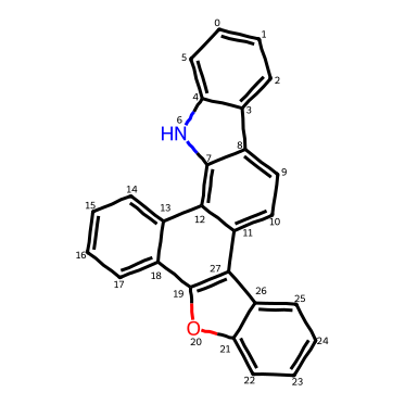 c1ccc2c(c1)[nH]c1c2ccc2c1c1ccccc1c1oc3ccccc3c21